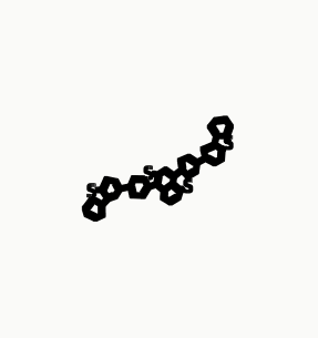 c1ccc2c(c1)sc1ccc(-c3ccc4c(c3)Sc3cccc5c3c-4cc3sc4cc(-c6ccc7sc8ccccc8c7c6)ccc4c35)cc12